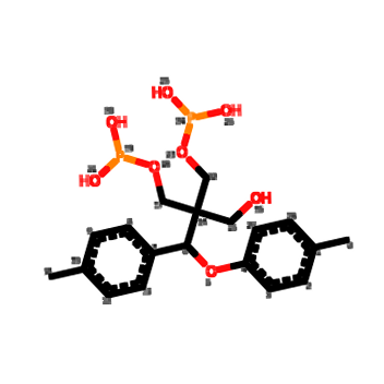 Cc1ccc(OC(c2ccc(C)cc2)C(CO)(COP(O)O)COP(O)O)cc1